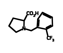 O=C(O)C1CCCN1Cc1ccccc1C(F)(F)F